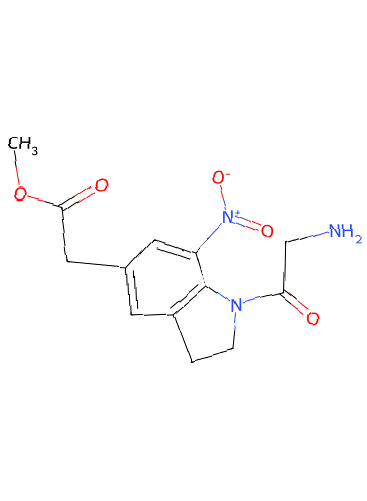 COC(=O)Cc1cc2c(c([N+](=O)[O-])c1)N(C(=O)CN)CC2